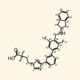 CC(C)(CCn1cnc(-c2cccc(-c3cc(F)c(CNC4Cc5ccccc5C4)c(F)c3)c2)n1)C(=O)O